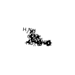 CC(C)C[C@H](NC(=O)[C@H](CC(N)=O)NC(=O)OC(C)(C)C)[C@@H](O)C[C@@H](C)C(=O)N[C@@H](C)C(=O)NCc1ccccc1